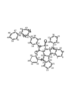 O=C1c2c(c3c(c4ccccc4n3-c3ccccc3)c3c4ccccc4n(C4=CCCC=C4)c23)C(=O)N1c1ccc(-c2nccc(-c3ccccc3)n2)cc1